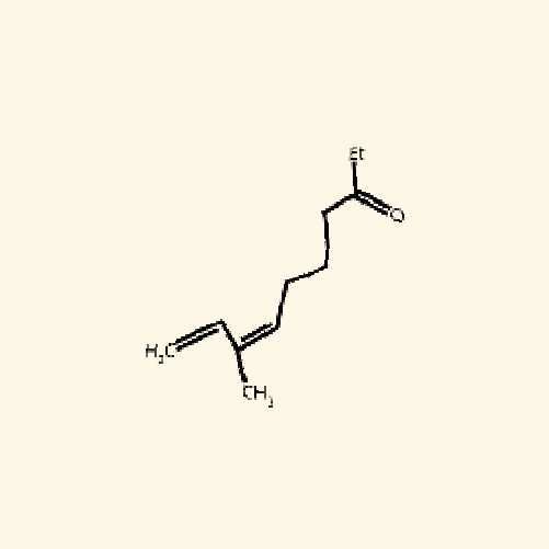 C=CC(C)=CCCCC(=O)CC